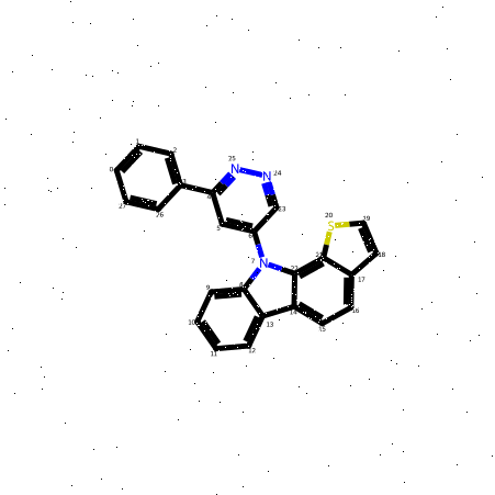 c1ccc(-c2cc(-n3c4ccccc4c4ccc5ccsc5c43)cnn2)cc1